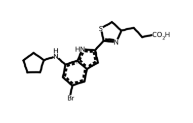 O=C(O)CCC1CSC(c2cc3cc(Br)cc(NC4CCCC4)c3[nH]2)=N1